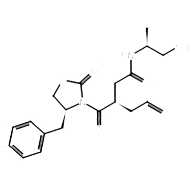 C=CC[C@H](CC(=O)N[C@@H](C)CO)C(=O)N1C(=O)OC[C@@H]1Cc1ccccc1